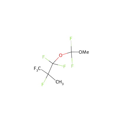 COC(F)(F)OC(F)(F)C(C)(F)C(F)(F)F